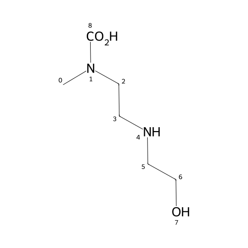 CN(CCNCCO)C(=O)O